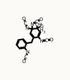 CC1(C)C=C(N=C=O)C(Cc2ccccc2N=C=O)=CC1(N=C=O)N=C=O